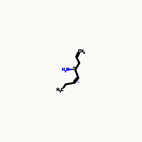 C=CC[C@@H](N)/C=C\CC